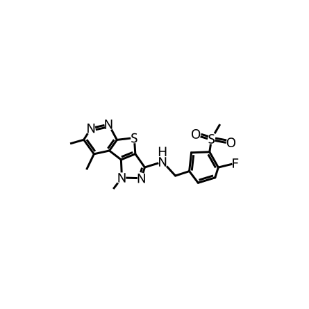 Cc1nnc2sc3c(NCc4ccc(F)c(S(C)(=O)=O)c4)nn(C)c3c2c1C